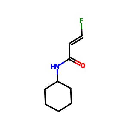 O=C(/C=C/F)NC1CCCCC1